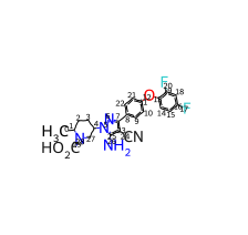 CC1CCC(n2nc(-c3ccc(Oc4ccc(F)cc4F)cc3)c(C#N)c2N)CN1C(=O)O